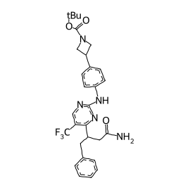 CC(C)(C)OC(=O)N1CC(c2ccc(Nc3ncc(C(F)(F)F)c(C(CC(N)=O)Cc4ccccc4)n3)cc2)C1